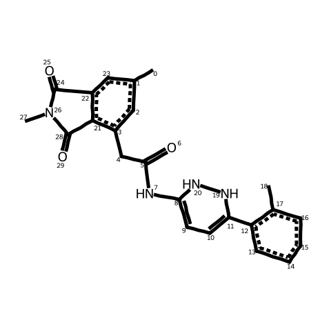 Cc1cc(CC(=O)NC2=CC=C(c3ccccc3C)NN2)c2c(c1)C(=O)N(C)C2=O